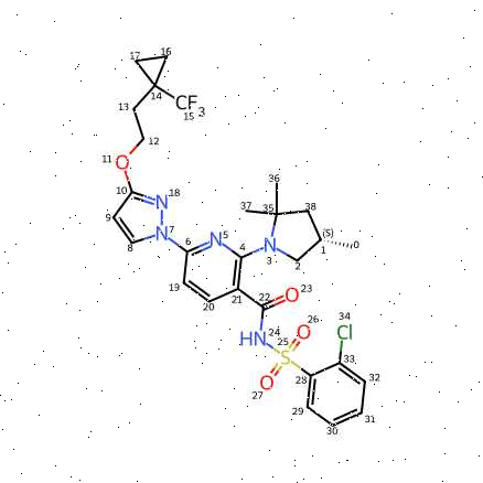 C[C@@H]1CN(c2nc(-n3ccc(OCCC4(C(F)(F)F)CC4)n3)ccc2C(=O)NS(=O)(=O)c2ccccc2Cl)C(C)(C)C1